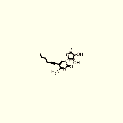 CCCCC#Cc1cn([C@@H]2O[C@H](C)[C@@H](O)[C@H]2O)c(=O)nc1N